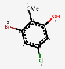 COc1c(O)cc(Cl)cc1Br